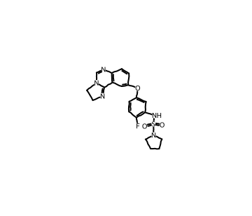 O=S(=O)(Nc1cc(Oc2ccc3c(c2)C2=NCCN2C=N3)ccc1F)N1CCCC1